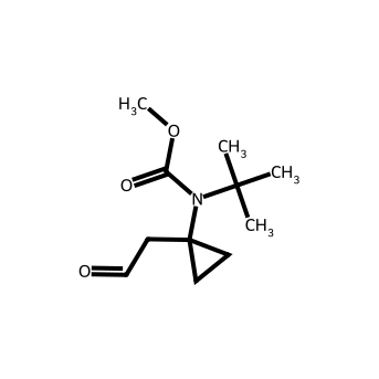 COC(=O)N(C(C)(C)C)C1(CC=O)CC1